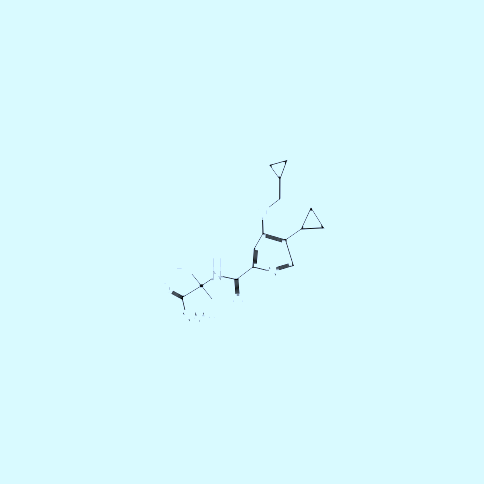 CCC(C)(NC(=O)c1cc(OCC2CC2)c(C2CC2)cn1)C(=O)NC